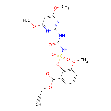 C#CCOC(=O)c1cccc(OC)c1OS(=O)(=O)NC(=O)Nc1nc(OC)cc(OC)n1